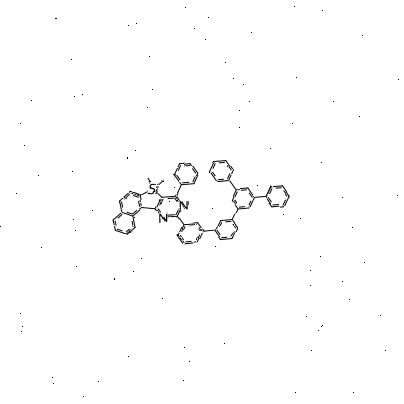 C[Si]1(C)c2ccc3ccccc3c2-c2nc(-c3cccc(-c4cccc(-c5cc(-c6ccccc6)cc(-c6ccccc6)c5)c4)c3)nc(-c3ccccc3)c21